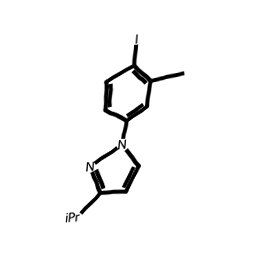 Cc1cc(-n2ccc(C(C)C)n2)ccc1I